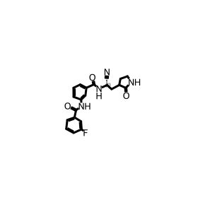 N#C[C@H](CC1CCNC1=O)NC(=O)c1cccc(NC(=O)c2cccc(F)c2)c1